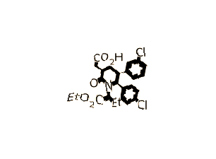 CCOC(=O)C(CC)N1C(=O)[C@@H](CC(=O)O)C[C@H](c2cccc(Cl)c2)[C@H]1c1ccc(Cl)cc1